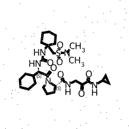 CN(C)S(=O)(=O)CC1(NC(=O)N[C@H](C(=O)N2CCC[C@H]2C(=O)NCC(=O)C(=O)NC2CC2)C2CCCCC2)CCCCC1